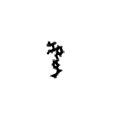 CNC(=O)C(=NOC)c1ccccc1COc1cccc(C2CC2C2CC2)c1